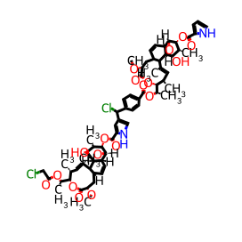 CO[C@H]1C[C@H]2C=C[C@H]3[C@H]4O[C@]2(/C(C)=C/[C@@H](C)[C@@H]([C@@H](C)OC(=O)CCl)OC1=O)[C@@H]3[C@H](O)[C@@H](C)[C@H]4OC(=O)c1cc(C(Cl)c2ccc(C(=O)O[C@H](C)[C@H]3OC(=O)[C@@H](OC)CC4C=C[C@H]5[C@H]6O[C@]4(/C(C)=C/[C@H]3C)[C@@H]5[C@H](O)[C@@H](C)[C@H]6OC(=O)c3ccc[nH]3)cc2)c[nH]1